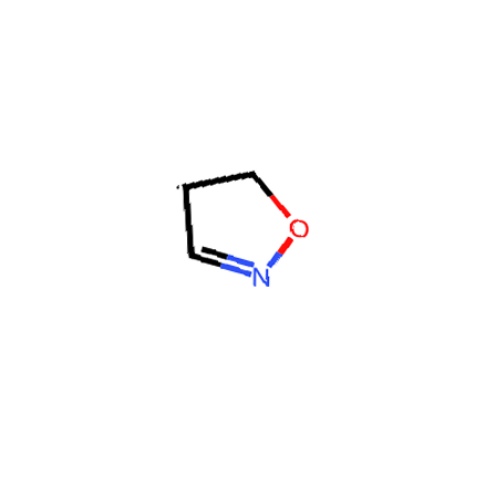 [CH]1C=NOC1